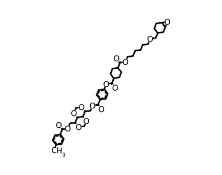 Cc1ccc(C(=O)OCC2OCOC3C(COC(=O)c4ccc(OC(=O)C5CCC(C(=O)OCCCCCCOCC6CCC7OC7C6)CC5)cc4)OCOC23)cc1